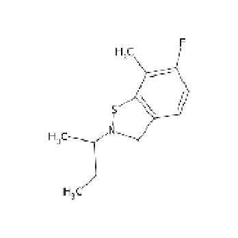 CCC(C)N1Cc2ccc(F)c(C)c2S1